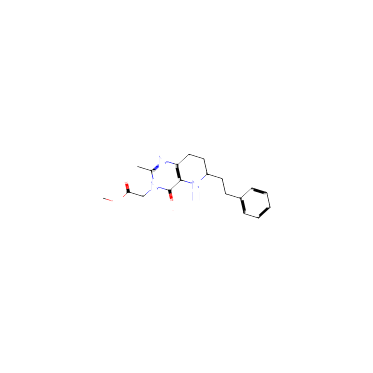 COC(=O)Cn1c(C)nc2c(c1=O)NC(CCc1ccccc1)CC2